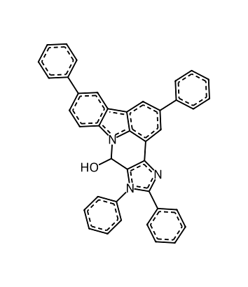 OC1c2c(nc(-c3ccccc3)n2-c2ccccc2)-c2cc(-c3ccccc3)cc3c4cc(-c5ccccc5)ccc4n1c23